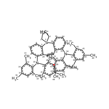 CC[Si]1(CC)c2cccc(N(c3c(C)cc(C)cc3C)c3c(C)cc(C)cc3C)c2C=Cc2c(N(c3c(C)cc(C)cc3C)c3c(C)cc(C)cc3C)cccc21